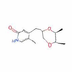 Cc1c[nH]c(=O)cc1CC1CO[C@H](C)[C@H](C)O1